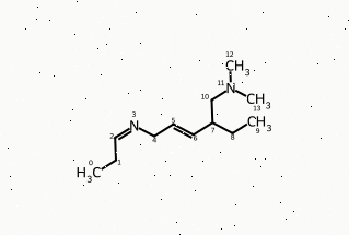 CC/C=N\C/C=C/C(CC)CN(C)C